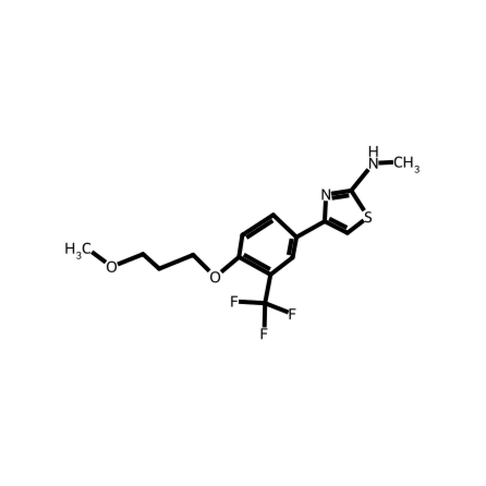 CNc1nc(-c2ccc(OCCCOC)c(C(F)(F)F)c2)cs1